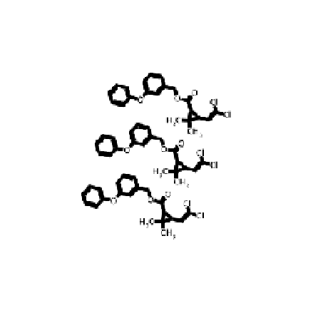 CC1(C)C(C=C(Cl)Cl)C1C(=O)OCc1cccc(Oc2ccccc2)c1.CC1(C)C(C=C(Cl)Cl)C1C(=O)OCc1cccc(Oc2ccccc2)c1.CC1(C)C(C=C(Cl)Cl)C1C(=O)OCc1cccc(Oc2ccccc2)c1